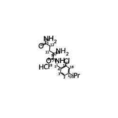 CC(C)c1ccc(CNC(=O)[C@@H](N)CCC(N)=O)c(Cl)c1.Cl